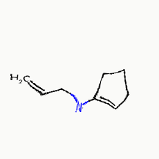 C=CC[N]C1=CCCC1